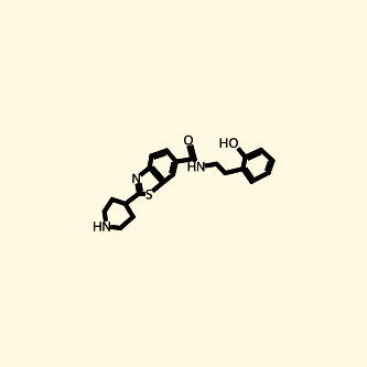 O=C(NCCc1ccccc1O)c1ccc2nc(C3CCNCC3)sc2c1